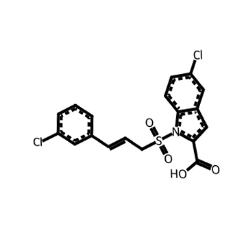 O=C(O)c1cc2cc(Cl)ccc2n1S(=O)(=O)CC=Cc1cccc(Cl)c1